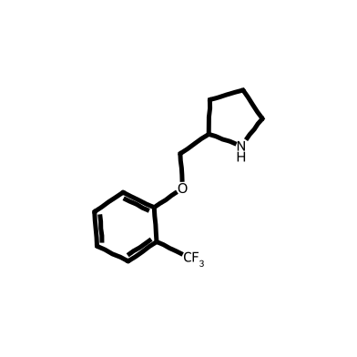 FC(F)(F)c1ccccc1OCC1CCCN1